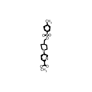 COC(=O)c1ccc(N2CCC(COS(=O)(=O)c3ccc(C)cc3)CC2)cn1